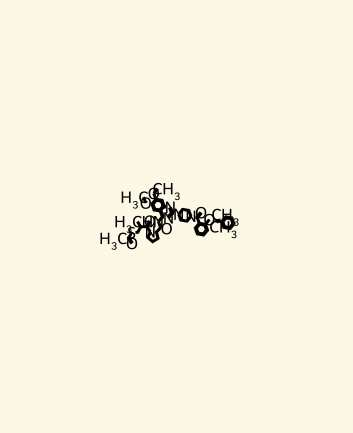 COc1cc2nc(N3CCN(C(=O)c4ccccc4OC(C)(C)c4ccccc4)CC3)nc(NC(=O)C3CCCN3C(=O)C(C)CSC(C)=O)c2cc1OC